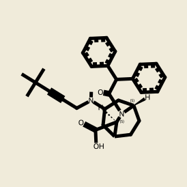 CN(CC#CC(C)(C)C)C1CC2CC[C@@H](C1)N(C(=O)C(c1ccccc1)c1ccccc1)[C@@H]2C(=O)O